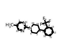 Cc1cnc(N2CCC(c3ccccc3C(F)(F)F)CC2)nc1